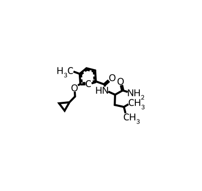 Cc1ccc(C(=O)NC(CC(C)C)C(N)=O)cc1OCC1CC1